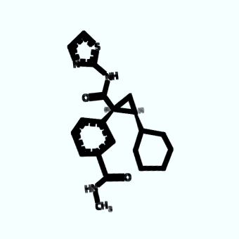 CNC(=O)c1cccc([C@@]2(C(=O)Nc3nccs3)C[C@H]2C2CCCCC2)c1